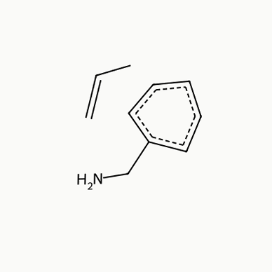 C=CC.NCc1ccccc1